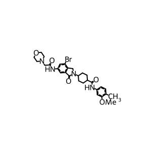 COc1cc(NC(=O)C2CCC(N3Cc4c(Br)cc(NC(=O)CN5CCOCC5)cc4C3=O)CC2)ccc1C